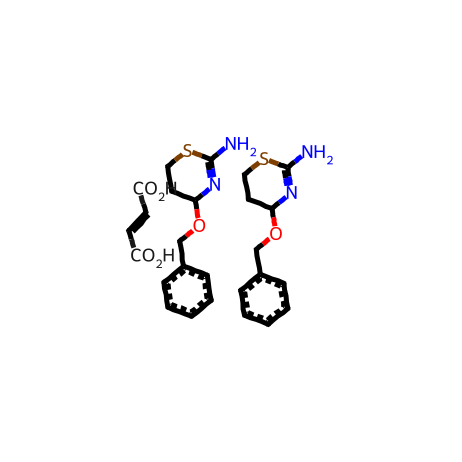 NC1=NC(OCc2ccccc2)CCS1.NC1=NC(OCc2ccccc2)CCS1.O=C(O)/C=C/C(=O)O